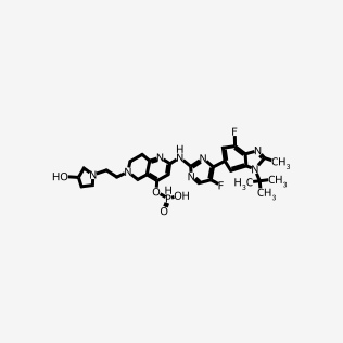 Cc1nc2c(F)cc(-c3nc(Nc4cc(O[PH](=O)O)c5c(n4)CCN(CCN4CCC(O)C4)C5)ncc3F)cc2n1C(C)(C)C